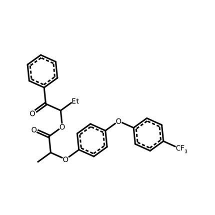 CCC(OC(=O)C(C)Oc1ccc(Oc2ccc(C(F)(F)F)cc2)cc1)C(=O)c1ccccc1